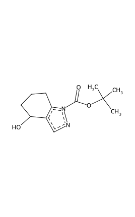 CC(C)(C)OC(=O)n1ncc2c1CCCC2O